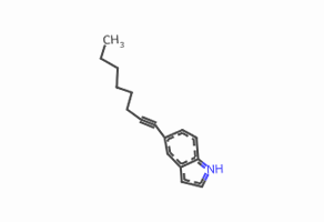 CCCCCCC#Cc1ccc2[nH]ccc2c1